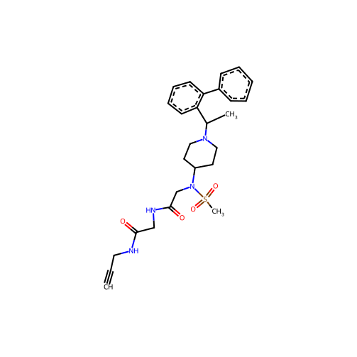 C#CCNC(=O)CNC(=O)CN(C1CCN(C(C)c2ccccc2-c2ccccc2)CC1)S(C)(=O)=O